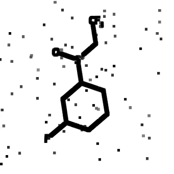 [O-][S+](CC(F)(F)F)C1CCCC(F)C1